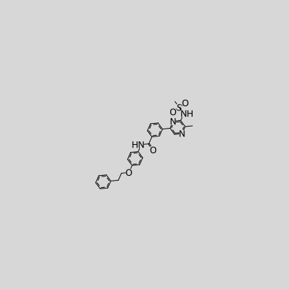 Cc1ncc(-c2cccc(C(=O)Nc3ccc(OCCc4ccccc4)cc3)c2)nc1NS(C)(=O)=O